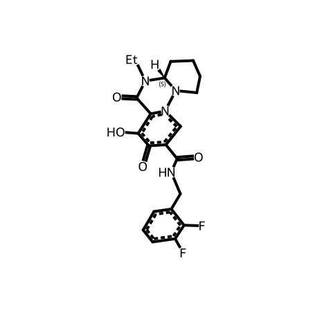 CCN1C(=O)c2c(O)c(=O)c(C(=O)NCc3cccc(F)c3F)cn2N2CCCC[C@@H]12